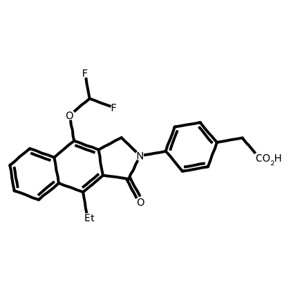 CCc1c2c(c(OC(F)F)c3ccccc13)CN(c1ccc(CC(=O)O)cc1)C2=O